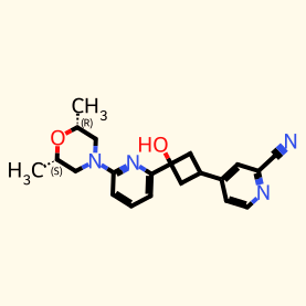 C[C@@H]1CN(c2cccc(C3(O)CC(c4ccnc(C#N)c4)C3)n2)C[C@H](C)O1